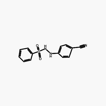 N#Cc1ccc(NNS(=O)(=O)c2ccccc2)cc1